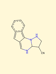 N#CC1CNN2C3=c4ccccc4=CC3=CNC12